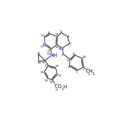 Cc1ccc(CN2CCCc3ccnc(NC4(c5ccc(C(=O)O)cc5)CC4)c32)cc1